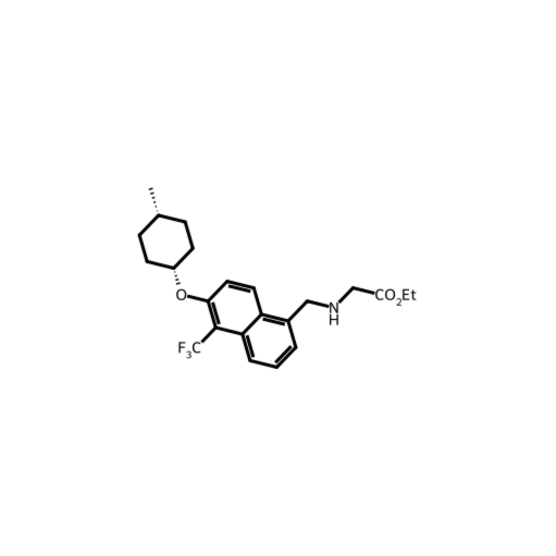 CCOC(=O)CNCc1cccc2c(C(F)(F)F)c(O[C@H]3CC[C@@H](C)CC3)ccc12